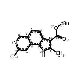 Cc1[nH]c2c(ccc3cnc(Cl)cc32)c1C(=O)OC(C)(C)C